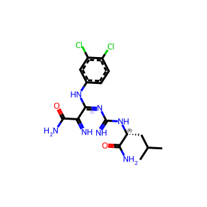 CC(C)C[C@@H](NC(=N)/N=C(/Nc1ccc(Cl)c(Cl)c1)C(=N)C(N)=O)C(N)=O